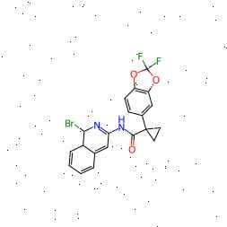 O=C(NC1=NC(Br)C2C=CC=CC2=C1)C1(c2ccc3c(c2)OC(F)(F)O3)CC1